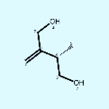 C=C(CO)[C@H](C)CO